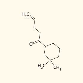 C=CCCC(=O)C1CCCC(C)(C)C1